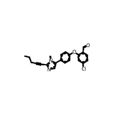 CCCC#Cc1ncc(-c2ccc(Oc3cc(Cl)ccc3C=O)cc2)n1C